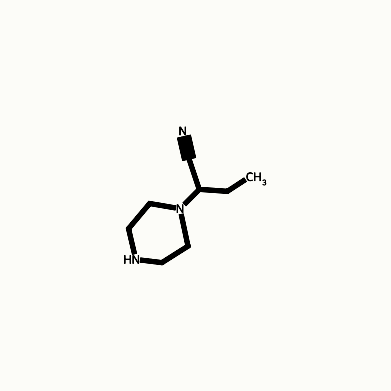 CCC(C#N)N1CCNCC1